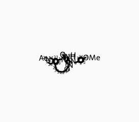 COc1ccc(CNc2nc3nc4c2[nH]c(=O)n4Cc2cc(c4c(c2)CN(C(C)=O)CC4)CCCCCO3)cc1